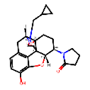 O=C1CCCN1[C@@H]1CC[C@@]2(O)[C@H]3Cc4ccc(O)c5c4[C@@]2(CCN3CC2CC2)[C@H]1O5